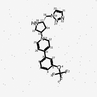 FC(F)(F)Oc1cccc(C2=CCN([C@H]3CN[C@H](Cn4ccnn4)C3)C=C2)c1